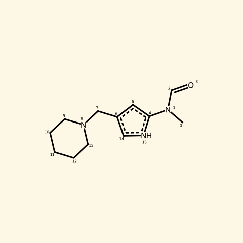 CN(C=O)c1cc([CH]N2CCCCC2)c[nH]1